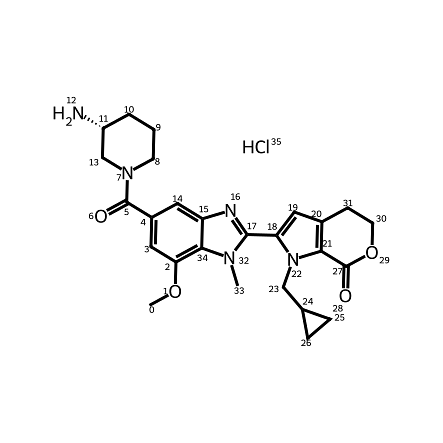 COc1cc(C(=O)N2CCC[C@@H](N)C2)cc2nc(-c3cc4c(n3CC3CC3)C(=O)OCC4)n(C)c12.Cl